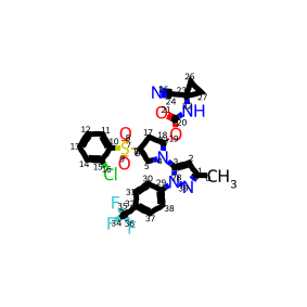 Cc1cc(N2C[C@H](S(=O)(=O)c3ccccc3Cl)C[C@@H]2OC(=O)NC2(C#N)CC2)n(-c2ccc(C(F)(F)F)cc2)n1